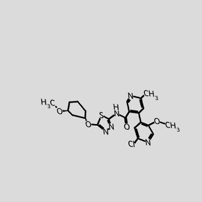 COc1cnc(Cl)cc1-c1cc(C)ncc1C(=O)Nc1nnc(O[C@@H]2CCC[C@H](OC)C2)s1